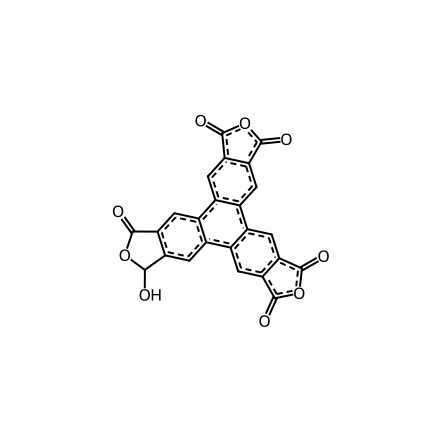 O=C1OC(O)c2cc3c(cc21)c1cc2c(=O)oc(=O)c2cc1c1cc2c(=O)oc(=O)c2cc31